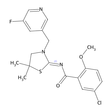 COc1ccc(Cl)cc1C(=O)/N=C1\SC(C)(C)CN1Cc1cncc(F)c1